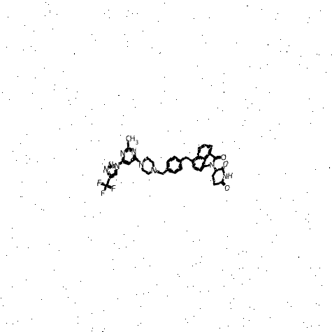 Cc1nc(N2CCN(Cc3ccc(Cc4ccc5c6c(cccc46)C(=O)N5C4CCC(=O)NC4=O)cc3)CC2)cc(-n2cc(C(F)(F)F)nn2)n1